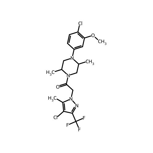 COc1cc(N2CC(C)N(C(=O)Cn3nc(C(F)(F)F)c(Cl)c3C)CC2C)ccc1Cl